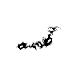 N=C(N)NC(=O)OCc1cccc(-c2cnc(N3CC(=NOCc4ccccc4)C3)nc2)c1F